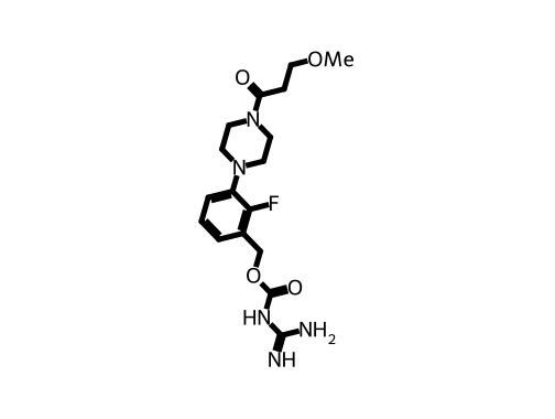 COCCC(=O)N1CCN(c2cccc(COC(=O)NC(=N)N)c2F)CC1